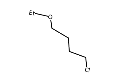 [CH2]COCCCCCl